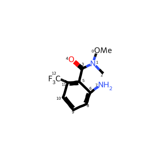 CON(C)C(=O)c1c(N)cccc1C(F)(F)F